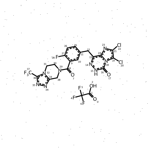 O=C(O)C(F)(F)F.O=C(c1cc(Cc2n[nH]c(=O)n3c(Cl)c(Cl)nc23)ccc1F)N1CCn2c(nnc2C(F)(F)F)C1